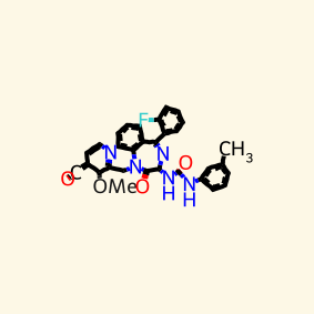 COC1C(=C=O)C=CN=C1CN1C(=O)C(NC(=O)Nc2cccc(C)c2)N=C(c2ccccc2F)c2ccccc21